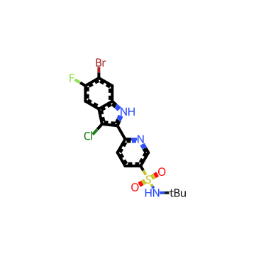 CC(C)(C)NS(=O)(=O)c1ccc(-c2[nH]c3cc(Br)c(F)cc3c2Cl)nc1